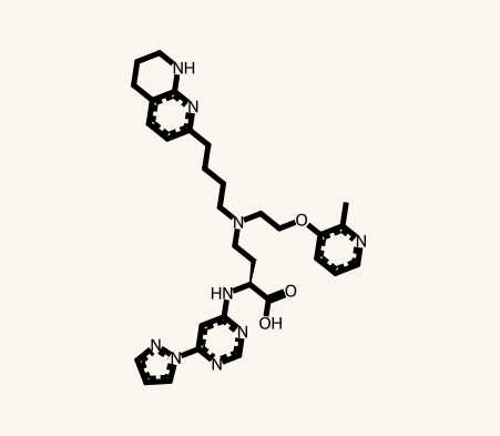 Cc1ncccc1OCCN(CCCCc1ccc2c(n1)NCCC2)CC[C@H](Nc1cc(-n2cccn2)ncn1)C(=O)O